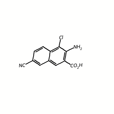 N#Cc1ccc2c(Cl)c(N)c(C(=O)O)cc2c1